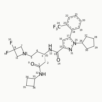 O=C(C[C@H](CCN1CC(F)(F)C1)NC(=O)c1cc(-c2ccccc2C(F)(F)F)n(C2CCCC2)n1)NC1CCC1